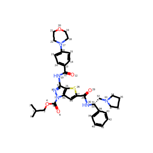 CC(C)COC(=O)n1nc(NC(=O)c2ccc(N3CCOCC3)cc2)c2sc(C(=O)N[C@H](CN3CCCC3)c3ccccc3)cc21